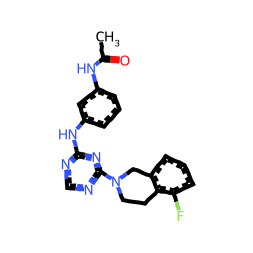 CC(=O)Nc1cccc(Nc2ncnc(N3CCc4c(F)cccc4C3)n2)c1